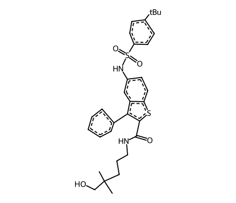 CC(C)(CO)CCCNC(=O)c1sc2ccc(NS(=O)(=O)c3ccc(C(C)(C)C)cc3)cc2c1-c1ccccc1